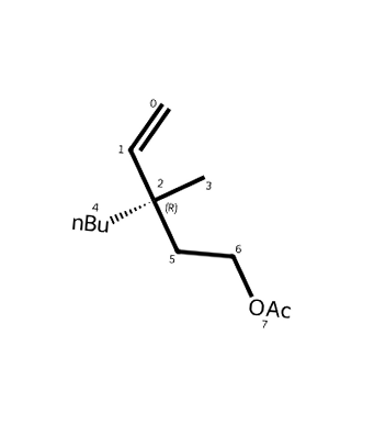 C=C[C@](C)(CCCC)CCOC(C)=O